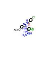 COc1ccc2nc(NC(=O)c3ccc(Cl)cc3)nc(N[C@@H]3CCCC[C@@H]3NC(=N)N)c2c1.Cl.Cl